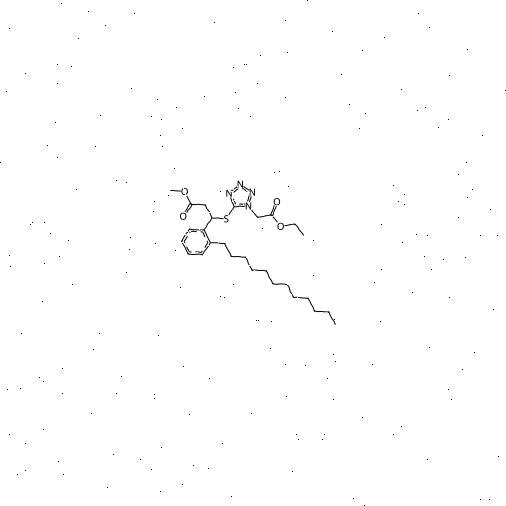 CCCCCCCCCCCCc1ccccc1C(CC(=O)OC)Sc1nnnn1CC(=O)OCC